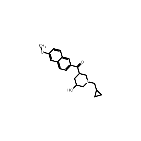 COc1ccc2cc(C(=O)C3CC(O)CN(CC4CC4)C3)ccc2c1